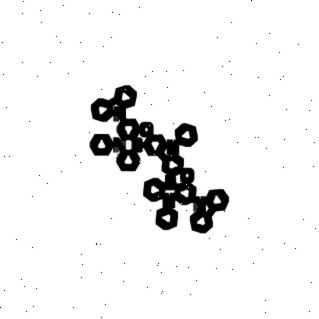 c1ccc(N2c3ccccc3B3c4cc5c6cc7c(cc6n(-c6ccccc6)c5cc4Oc4cc(-n5c6ccccc6c6ccccc65)cc2c43)Oc2cc(-n3c4ccccc4c4ccccc43)cc3c2B7c2ccccc2N3c2ccccc2)cc1